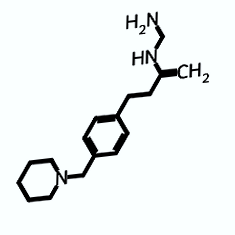 C=C(CCc1ccc(CN2CCCCC2)cc1)NCN